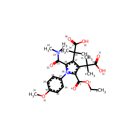 CCOC(=O)c1c(C(C)(C)C(=O)O)c(C(C)(C)C(=O)O)c(C(=O)N(C)C)n1-c1ccc(OC)cc1